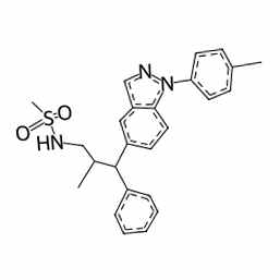 Cc1ccc(-n2ncc3cc(C(c4ccccc4)C(C)CNS(C)(=O)=O)ccc32)cc1